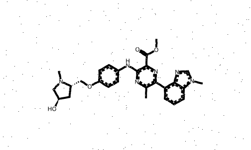 COC(=O)c1nc(-c2cccc3c2ncn3C)c(C)nc1Nc1ccc(OC[C@@H]2C[C@@H](O)CN2C)cc1